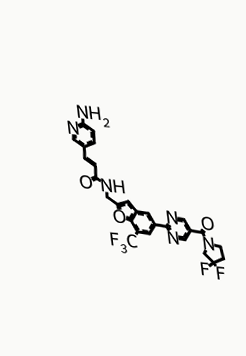 Nc1ccc(C=CC(=O)NCc2cc3cc(-c4ncc(C(=O)N5CCC(F)(F)C5)cn4)cc(C(F)(F)F)c3o2)cn1